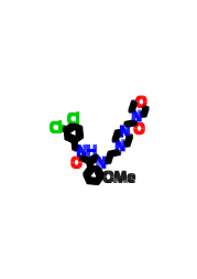 COc1cccc2c(C(=O)NCc3ccc(Cl)c(Cl)c3)cn(CCCN3CCN(CC(=O)N4CCOCC4)CC3)c12